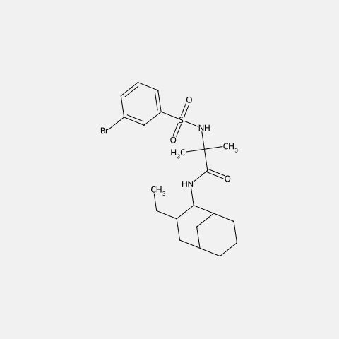 CCC1CC2CCCC(C2)C1NC(=O)C(C)(C)NS(=O)(=O)c1cccc(Br)c1